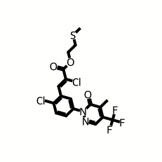 CSCCOC(=O)C(Cl)=Cc1cc(-n2ncc(C(F)(F)F)c(C)c2=O)ccc1Cl